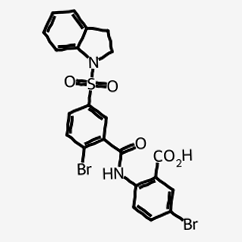 O=C(Nc1ccc(Br)cc1C(=O)O)c1cc(S(=O)(=O)N2CCc3ccccc32)ccc1Br